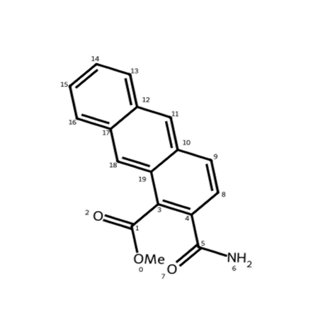 COC(=O)c1c(C(N)=O)ccc2cc3ccccc3cc12